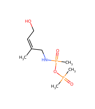 C/C(=C/CO)CNP(C)(=O)OP(C)(C)=O